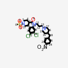 CS(=O)(=O)N1CCC(C(=O)N(CCCN2CCC(Cc3ccc([N+](=O)[O-])cc3)CC2)c2ccc(Cl)c(Cl)c2)CC1